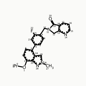 CC(C)Oc1ccc(-c2ccc(CN3Cc4ncccc4C3=O)c(F)c2)c2cn(C)nc12